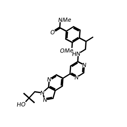 CNC(=O)c1ccc(C(C)CNc2cc(-c3cnc4c(cnn4CC(C)(C)O)c3)ncn2)c(OC)c1